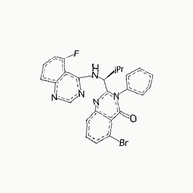 CC(C)[C@H](Nc1ncnc2cccc(F)c12)c1nc2cccc(Br)c2c(=O)n1-c1ccccc1